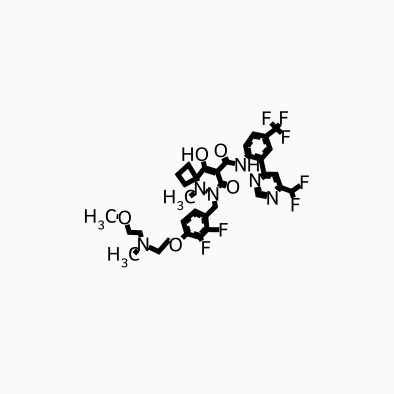 COCCN(C)CCOc1ccc(CN2C(=O)C(C(=O)Nc3ccc(C(F)(F)F)cc3-c3cc(C(F)F)ncn3)=C(O)C3(CCC3)N2C)c(F)c1F